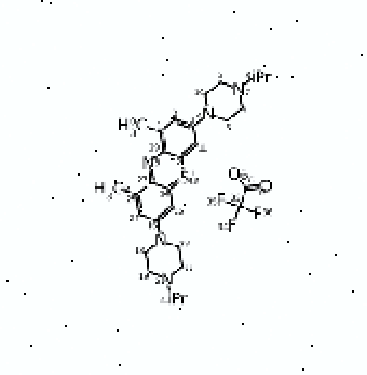 Cc1cc(N2CCN(C(C)C)CC2)cc2[s+]c3cc(N4CCN(C(C)C)CC4)cc(C)c3nc12.O=C([O-])C(F)(F)F